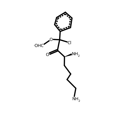 NCCCC[C@H](N)C(=O)C(Cl)(O[C]=O)c1ccccc1